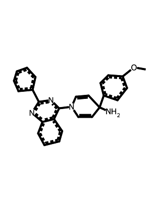 COc1ccc(C2(N)C=CN(c3nc(-c4ccccc4)nc4ccccc34)C=C2)cc1